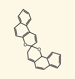 C1=Cc2ccccc2C2OC3(C=Cc4c(ccc5ccccc45)O3)CC=C12